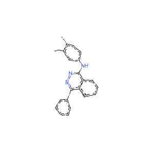 Cc1ccc(Nc2nnc(-c3ccccc3)c3ccccc23)cc1C